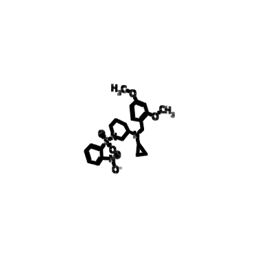 COc1ccc(CN(C2CC2)[C@@H]2CCCN(S(=O)(=O)c3ccccc3[N+](=O)[O-])C2)c(OC)c1